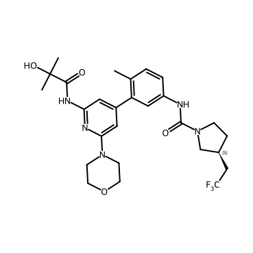 Cc1ccc(NC(=O)N2CC[C@@H](CC(F)(F)F)C2)cc1-c1cc(NC(=O)C(C)(C)O)nc(N2CCOCC2)c1